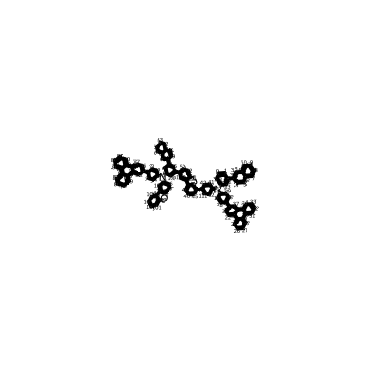 c1cc(-c2ccc3ccccc3c2)cc(N(c2ccc(-c3ccc4c5ccccc5c5ccccc5c4c3)cc2)c2ccc(-c3cccc4c3sc3ccc(-c5cc(-c6ccc7ccccc7c6)cc(N(c6ccc(-c7ccc8c9ccccc9c9ccccc9c8c7)cc6)c6ccc7oc8ccccc8c7c6)c5)cc34)cc2)c1